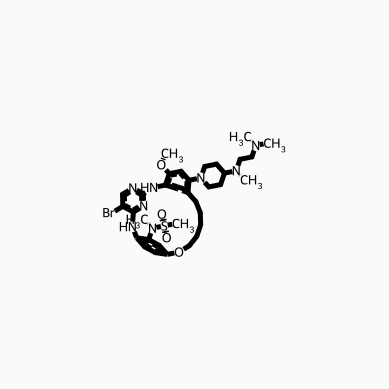 COc1cc(N2CCC(N(C)CCN(C)C)CC2)c2cc1Nc1ncc(Br)c(n1)Nc1ccc(cc1N(C)S(C)(=O)=O)OCCCCC2